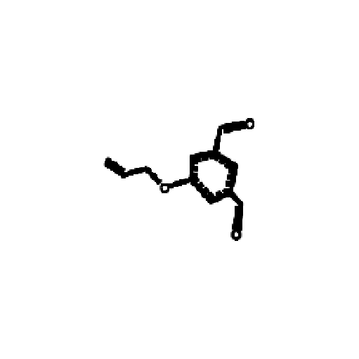 C=CCOc1cc(C=O)cc(C=O)c1